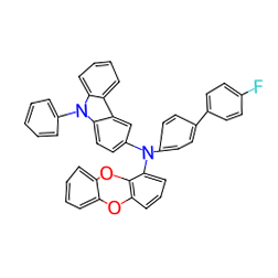 Fc1ccc(-c2ccc(N(c3ccc4c(c3)c3ccccc3n4-c3ccccc3)c3cccc4c3Oc3ccccc3O4)cc2)cc1